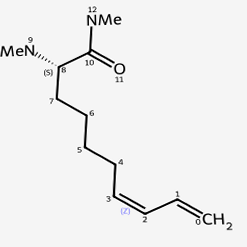 C=C/C=C\CCCC[C@H](NC)C(=O)NC